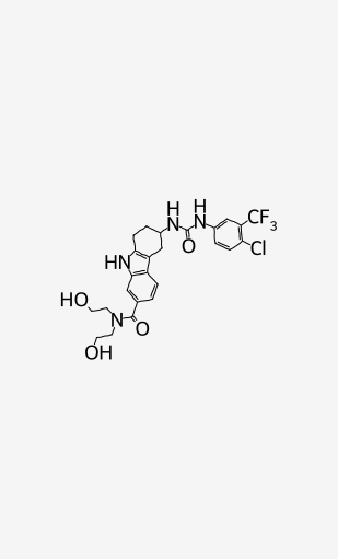 O=C(Nc1ccc(Cl)c(C(F)(F)F)c1)NC1CCc2[nH]c3cc(C(=O)N(CCO)CCO)ccc3c2C1